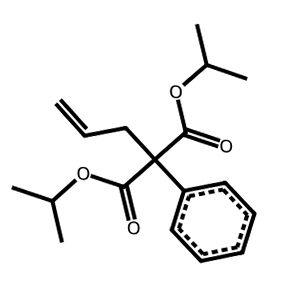 C=CCC(C(=O)OC(C)C)(C(=O)OC(C)C)c1ccccc1